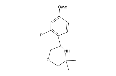 COc1ccc(C2COCC(C)(C)N2)c(F)c1